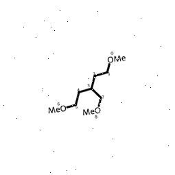 COCCC(CCOC)COC